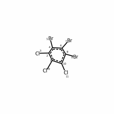 Clc1c(Cl)c(Br)c(Br)c(Br)c1Cl